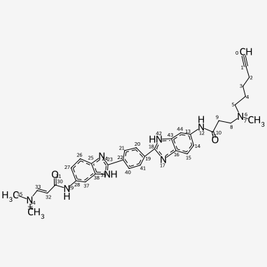 C#CCCCCN(C)CCC(=O)Nc1ccc2nc(-c3ccc(-c4nc5ccc(NC(=O)C=CN(C)C)cc5[nH]4)cc3)[nH]c2c1